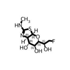 CNC1=N[C@@H]2[C@@H](O)[C@H](O)[C@@H]([C@H](O)CF)O[C@@H]2S1